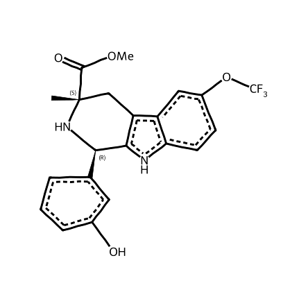 COC(=O)[C@]1(C)Cc2c([nH]c3ccc(OC(F)(F)F)cc23)[C@@H](c2cccc(O)c2)N1